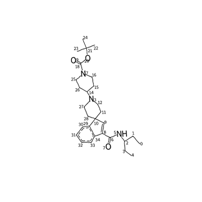 CCC(CC)NC(=O)C1=CC2(CCN(C3CCN(C(=O)OC(C)(C)C)CC3)CC2)c2ccccc21